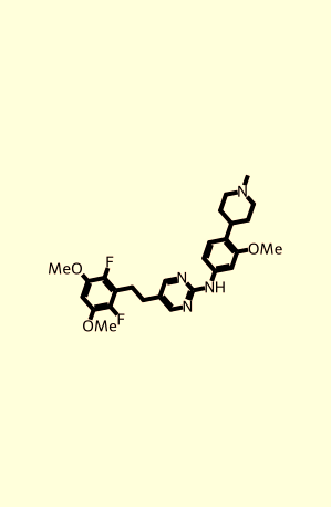 COc1cc(Nc2ncc(CCc3c(F)c(OC)cc(OC)c3F)cn2)ccc1C1CCN(C)CC1